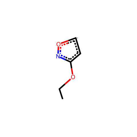 CCOc1c[c]on1